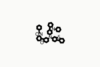 c1ccc(-c2nc3c(ccc4oc5ccc(N(c6ccc7c(c6)sc6ccccc67)c6ccc7c8ccccc8n(-c8ccccc8)c7c6)cc5c43)o2)cc1